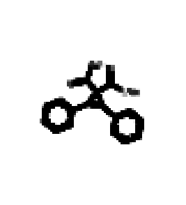 COC(=O)C1(C(=O)OC)C(c2ccccc2)=C1c1ccccc1